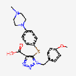 COc1ccc(Cn2nnc(C(=O)O)c2Sc2ccc(N3CCN(C)CC3)cc2)cc1